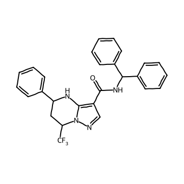 O=C(NC(c1ccccc1)c1ccccc1)c1cnn2c1NC(c1ccccc1)CC2C(F)(F)F